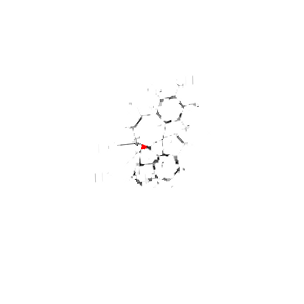 CC1=C(C)c2c(C)c(C)c(C)c(C)c2C2(C=Cc3ccc4sccc4c32)c2c(C)c(C)c(C)c(C)c21